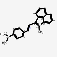 CN(C)c1ccc(/C=C/C2=[N+](C)c3cccc4cccc2c34)cc1